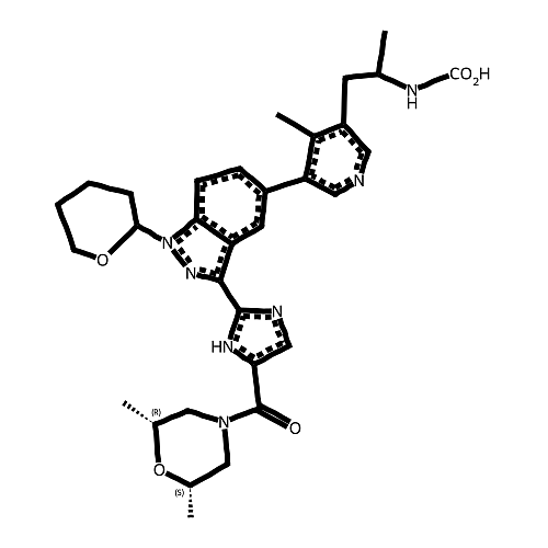 Cc1c(CC(C)NC(=O)O)cncc1-c1ccc2c(c1)c(-c1ncc(C(=O)N3C[C@@H](C)O[C@@H](C)C3)[nH]1)nn2C1CCCCO1